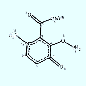 COC(=O)c1c(OP)c(=O)ccn1N